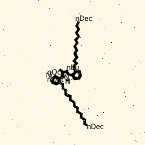 CCCCCCCCCCCCCCCCCCCC=CCCCc1ccccc1C1=C(C)C(CCCC)=C(c2ccccc2CCCC=CCCCCCCCCCCCCCCCCCCC)[N+]1=[N-].CCCCCCC[CH2][Ni][CH2]CCCCCCC